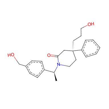 C[C@@H](c1ccc(CO)cc1)N1CC[C@](CCCO)(c2ccccc2)CC1=O